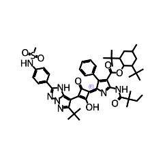 CCC(C)(C)C(=O)NC1=N/C(=C2/C(=O)C(c3c(C(C)(C)C)nn4nc(-c5ccc(NS(C)(=O)=O)cc5)[nH]c34)=C2O)C(c2ccccc2)=C1C(=O)OC1C(C(C)(C)C)CC(C)CC1C(C)(C)C